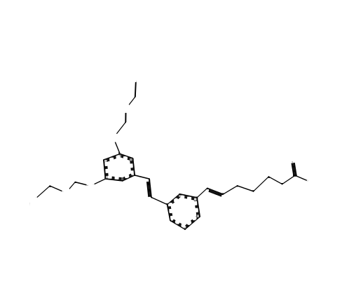 CCOCOc1cc(/C=C/c2cccc(/C=C/CCCCC(=O)O)c2)cc(OCOCC)c1